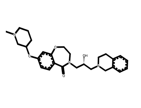 CN1CCCC(Oc2ccc3c(c2)OCCN(C[C@H](O)CN2CCc4ccccc4C2)C3=O)C1